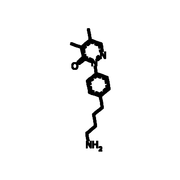 Cc1cnn(-c2ccc(CCCCN)cc2)c(=O)c1C